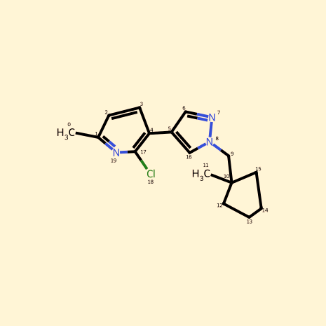 Cc1ccc(-c2cnn(CC3(C)CCCC3)c2)c(Cl)n1